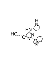 OCCOc1cc(N[C@@H]2CCCNC2)nc(-c2cnn3ccccc23)n1